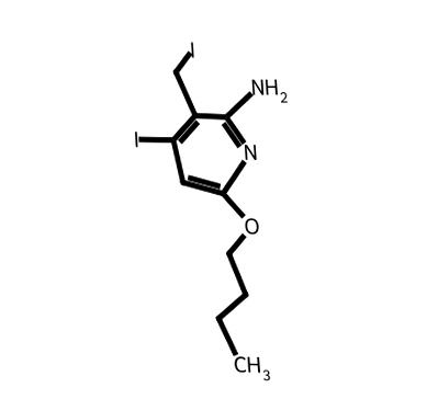 CCCCOc1cc(I)c(CI)c(N)n1